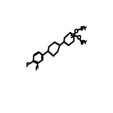 CC(C)O[Si]1(OC(C)C)CCC(C2CCC(c3ccc(F)c(F)c3)CC2)CC1